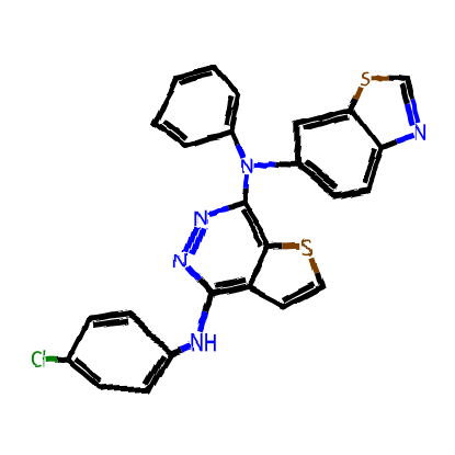 Clc1ccc(Nc2nnc(N(c3ccccc3)c3ccc4ncsc4c3)c3sccc23)cc1